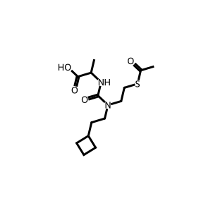 CC(=O)SCCN(CCC1CCC1)C(=O)NC(C)C(=O)O